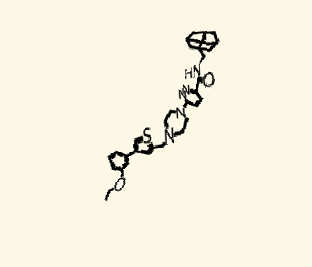 CCOc1cccc(-c2csc(CN3CCN(c4ccc(C(=O)NCC56CC7CC(CC(C7)C5)C6)nn4)CC3)c2)c1